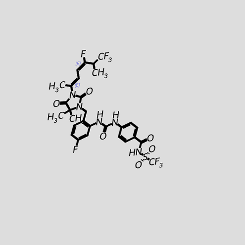 C/C(=C\C=C(\F)C(C)C(F)(F)F)N1C(=O)N(Cc2ccc(F)cc2NC(=O)Nc2ccc(C(=O)NS(=O)(=O)C(F)(F)F)cc2)C(C)(C)C1=O